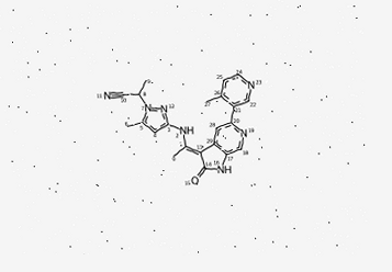 CC(Nc1cc(C)n(C(C)C#N)n1)=C1C(=O)Nc2cnc(-c3cnccc3C)cc21